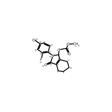 COC(=O)SC1C2=C(CCCC2)C(=O)N1c1ccc(Cl)cc1F